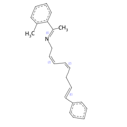 C/C(=N\C/C=C\C=C/C/C=C/c1ccccc1)c1ccccc1C